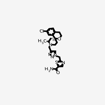 C[C@H]1C[C@@]2(CCN1Cc1cn(Cc3ncc(C(N)=O)s3)nn1)OCCc1ccc(Cl)cc12